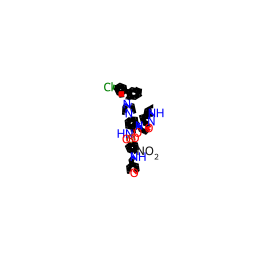 Cc1cc(Cl)ccc1C1=C(CN2CCN(c3ccc(C(=O)NS(=O)(=O)c4ccc(NCC5CCOCC5)c([N+](=O)[O-])c4)c(N4CCOc5nc6[nH]ccc6cc54)c3)CC2)CCC(C)(C)C1